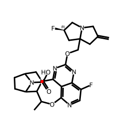 C=C1CN2C[C@H](F)CC2(COc2nc3c4c(ncc(F)c4n2)OC(C)C2C4CCC(CN32)N4C(=O)O)C1